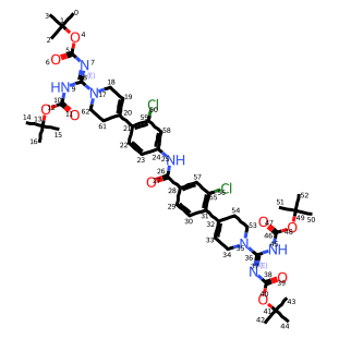 CC(C)(C)OC(=O)/N=C(\NC(=O)OC(C)(C)C)N1CC=C(c2ccc(NC(=O)c3ccc(C4=CCN(/C(=N/C(=O)OC(C)(C)C)NC(=O)OC(C)(C)C)CC4)c(Cl)c3)cc2Cl)CC1